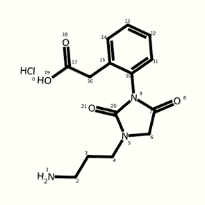 Cl.NCCCN1CC(=O)N(c2ccccc2CC(=O)O)C1=O